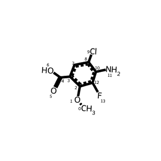 COc1c(C(=O)O)cc(Cl)c(N)c1F